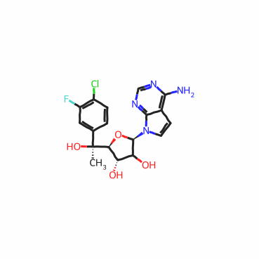 C[C@](O)(c1ccc(Cl)c(F)c1)[C@H]1O[C@@H](n2ccc3c(N)ncnc32)C(O)[C@@H]1O